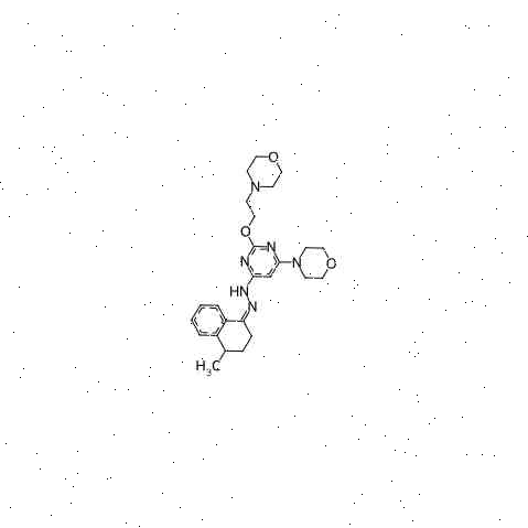 CC1CC/C(=N/Nc2cc(N3CCOCC3)nc(OCCN3CCOCC3)n2)c2ccccc21